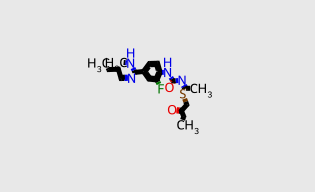 CCC/C=N\C(NC)c1ccc(NC(=O)/N=C(/C)SCC(=O)CC)c(F)c1